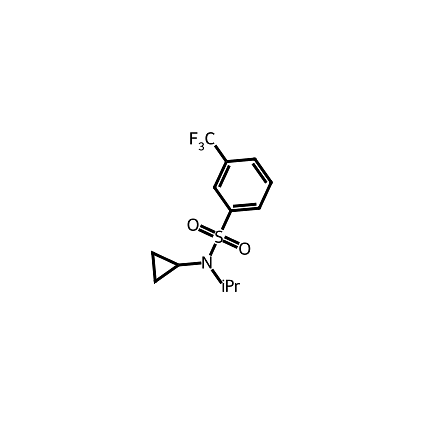 CC(C)N(C1CC1)S(=O)(=O)c1cccc(C(F)(F)F)c1